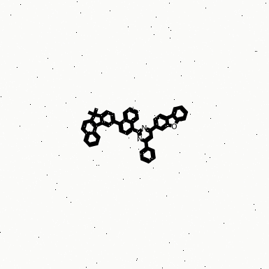 CC1(C)c2ccc(-c3ccc(-c4nc(-c5ccccc5)cc(-c5ccc6c(c5)oc5ccccc56)n4)c4ccccc34)cc2-c2c1ccc1ccccc21